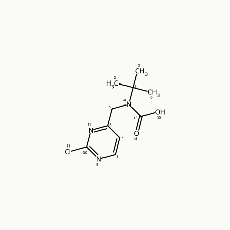 CC(C)(C)N(Cc1ccnc(Cl)n1)C(=O)O